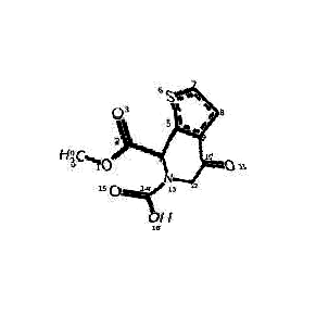 COC(=O)C1c2sccc2C(=O)CN1C(=O)O